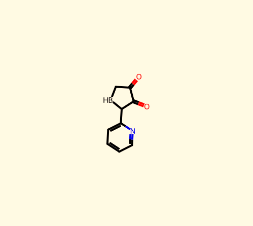 O=C1CBC(c2ccccn2)C1=O